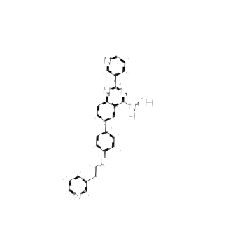 CNc1nc(-c2cccnc2)nc2ccc(-c3ccc(OCCc4cccnc4)cc3)cc12